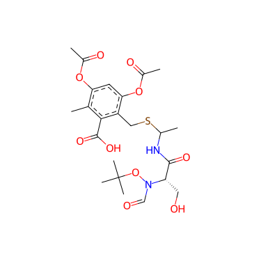 CC(=O)Oc1cc(OC(C)=O)c(CSC(C)NC(=O)[C@H](CO)N(C=O)OC(C)(C)C)c(C(=O)O)c1C